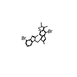 CC1=Cc2c(Br)c3c(cc2=C1CC1C(C)=Cc2c(Br)cccc21)SC(C)C=3C